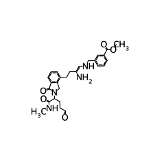 CNC(=O)C(CCC=O)N1Cc2c(CC/C(N)=C/NCc3cccc(C(=O)OC)c3)cccc2C1=O